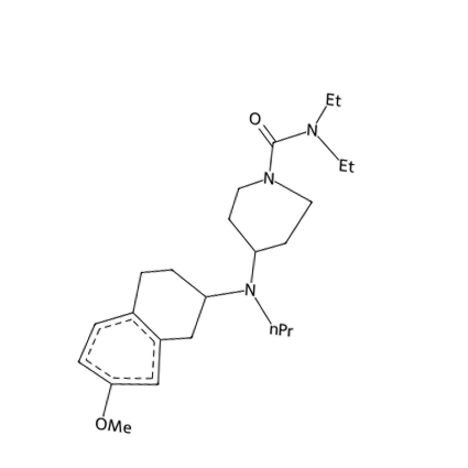 CCCN(C1CCN(C(=O)N(CC)CC)CC1)C1CCc2ccc(OC)cc2C1